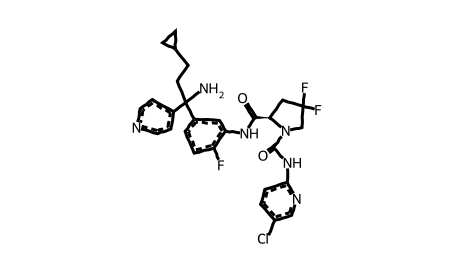 NC(CCC1CC1)(c1ccncc1)c1ccc(F)c(NC(=O)[C@H]2CC(F)(F)CN2C(=O)Nc2ccc(Cl)cn2)c1